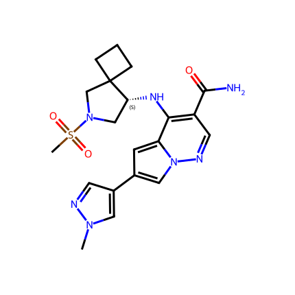 Cn1cc(-c2cc3c(N[C@@H]4CN(S(C)(=O)=O)CC45CCC5)c(C(N)=O)cnn3c2)cn1